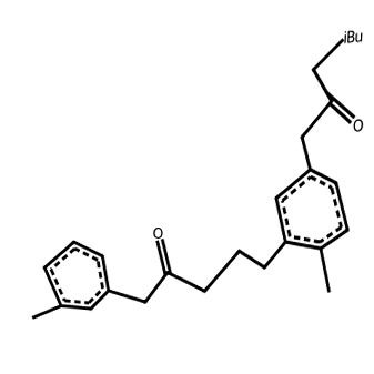 CCC(C)CC(=O)Cc1ccc(C)c(CCCC(=O)Cc2cccc(C)c2)c1